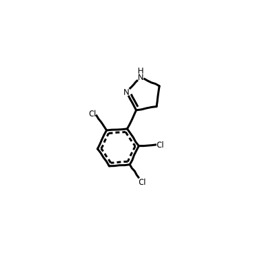 Clc1ccc(Cl)c(C2=NNCC2)c1Cl